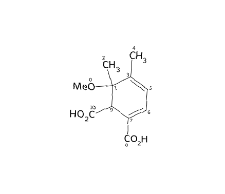 COC1(C)C(C)=CC=C(C(=O)O)C1C(=O)O